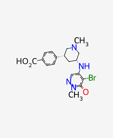 CN1C[C@H](Nc2cnn(C)c(=O)c2Br)C[C@H](c2ccc(C(=O)O)cc2)C1